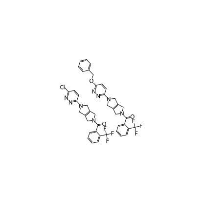 O=C(c1ccccc1C(F)(F)F)N1CC2=C(C1)CN(c1ccc(Cl)nn1)C2.O=C(c1ccccc1C(F)(F)F)N1CC2=C(C1)CN(c1ccc(OCc3ccccc3)nn1)C2